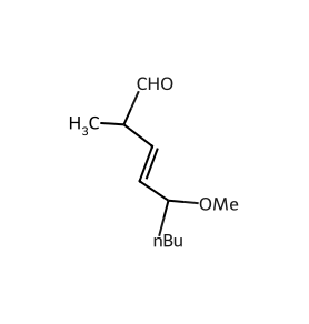 CCCCC(/C=C/C(C)C=O)OC